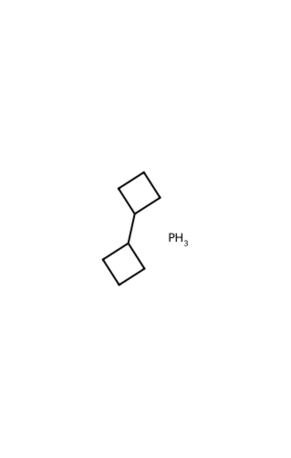 C1CC(C2CCC2)C1.P